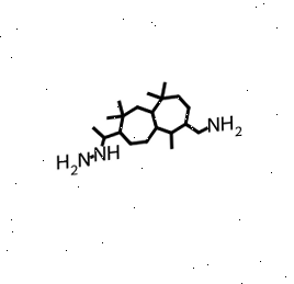 CC(NN)C1CCC2C(C)C(CN)CCC(C)(C)C2CC1(C)C